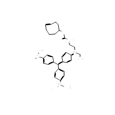 CC[N+](CCNC(=O)OC1CC/C=C/CCC1)=C1C=CC(=C(c2ccc(N(C)C)cc2)c2ccc(N(C)C)cc2)C=C1